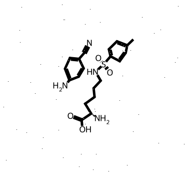 Cc1ccc(S(=O)(=O)NCCCC[C@H](N)C(=O)O)cc1.N#Cc1ccc(N)cc1